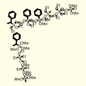 CCO[Si](C)(OCC)OCC.CCO[Si](CC)(CC)OCC.CCO[Si](CC)(OCC)OCC.CCO[Si](OCC)(OCC)C(C)c1ccccc1.CCO[Si](OCC)(OCC)c1ccccc1.CC[Si](CC)(OC)OC.CC[Si](OC)(OC)OC.CO[Si](C)(OC)OC.CO[Si](OC)(OC)C(C)c1ccccc1.CO[Si](OC)(OC)c1ccccc1